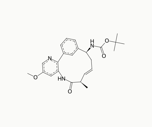 COc1cnc2c(c1)NC(=O)[C@H](C)/C=C/C[C@H](NC(=O)OC(C)(C)C)c1cccc-2c1